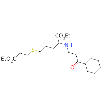 CCOC(=O)CCSCCCC(NCCC(=O)C1CCCCC1)C(=O)OCC